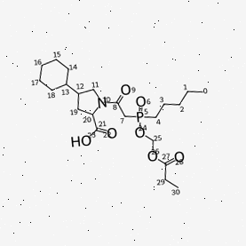 CCCCCP(=O)(CC(=O)N1CC(C2CCCCC2)CC1C(=O)O)OCOC(=O)CC